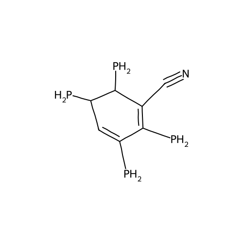 N#CC1=C(P)C(P)=CC(P)C1P